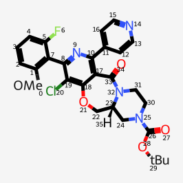 COc1cccc(F)c1-c1nc(-c2ccncc2)c2c(c1Cl)OC[C@H]1CN(C(=O)OC(C)(C)C)CCN1C2=O